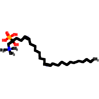 CCCCCCCCCCC/C=C\CCCCCC/C=C\CCC(O)(C[N+](C)(C)C)P(=O)(O)O